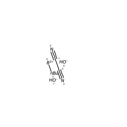 N#CC#N.[B+2]CCCC.[OH-].[OH-]